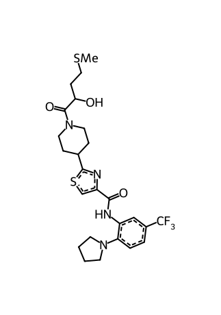 CSCCC(O)C(=O)N1CCC(c2nc(C(=O)Nc3cc(C(F)(F)F)ccc3N3CCCC3)cs2)CC1